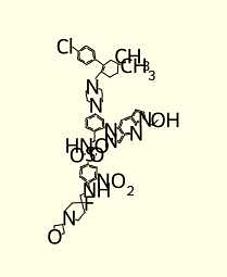 CC1(C)CCC(CN2CCN(c3ccc(C(=O)NS(=O)(=O)c4ccc(NCC5(F)CCN(C6COC6)CC5)c([N+](=O)[O-])c4)c(-n4ncc5nc6c(ccn6CO)cc54)c3)CC2)=C(c2ccc(Cl)cc2)C1